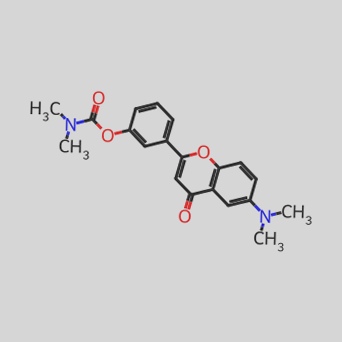 CN(C)C(=O)Oc1cccc(-c2cc(=O)c3cc(N(C)C)ccc3o2)c1